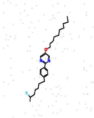 CCCCCCCCCCOc1cnc(-c2ccc(CCCCCC(C)F)cc2)nc1